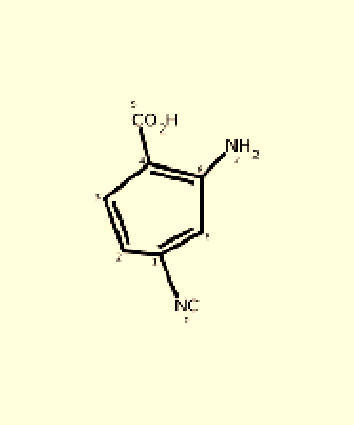 [C-]#[N+]c1ccc(C(=O)O)c(N)c1